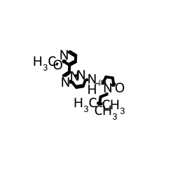 COc1ncccc1-c1cnc2ccc(NC[C@@H]3CCC(=O)N3CCC(C)(C)C)nn12